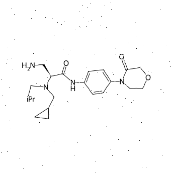 CC(C)CN(CC1CC1)[C@@H](CN)C(=O)Nc1ccc(N2CCOCC2=O)cc1